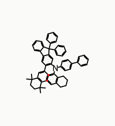 CC1(C)CCC(C)(C)c2cc(-c3cc4c(cc3N(c3ccc(-c5ccccc5)cc3)c3cccc5c3CCCC5)C(c3ccccc3)(c3ccccc3)c3ccccc3-4)ccc21